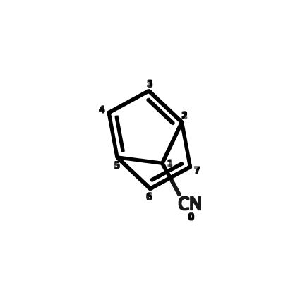 N#CC1C2=CC=C1C=C2